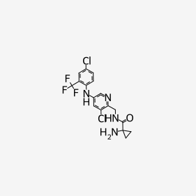 NC1(C(=O)NCc2ncc(Nc3ccc(Cl)cc3C(F)(F)F)cc2Cl)CC1